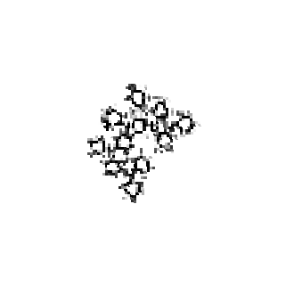 c1ccc(N2c3ccccc3B3c4cc5c6cc7c(cc6n(-c6ccccn6)c5cc4N(c4ccccc4)c4cccc2c43)N(c2ccccc2)c2cccc3c2B7c2ccccc2N3c2ccccc2)cc1